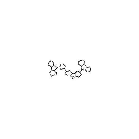 c1cc(-c2ccc3oc4ccc(-n5c6ccccc6c6ccccc65)cc4c3c2)cc(-n2c3ccccc3c3cccnc32)c1